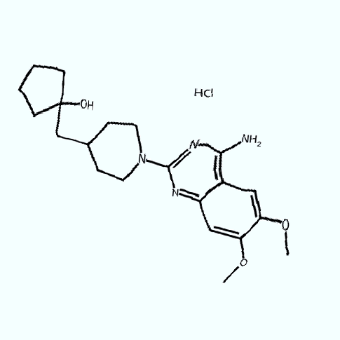 COc1cc2nc(N3CCC(CC4(O)CCCC4)CC3)nc(N)c2cc1OC.Cl